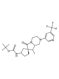 CC1C2CN(c3cncc(C(F)(F)F)c3)CCN2C(=O)[C@]12CCC(NC(=O)OC(C)(C)C)C2